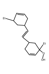 CCC1C=CCC(C=CC2CC=CC(CC)(OO)C2)C1